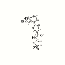 CCc1cc2c(-c3ccc([S@@+]([O-])NC4CCS(=O)(=O)C4)cc3)ccnc2[nH]1